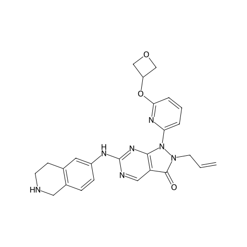 C=CCn1c(=O)c2cnc(Nc3ccc4c(c3)CCNC4)nc2n1-c1cccc(OC2COC2)n1